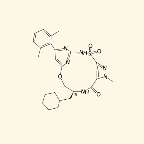 Cc1cccc(C)c1-c1cc2nc(n1)NS(=O)(=O)c1cc(n(C)n1)C(=O)N[C@@H](CC1CCCCC1)CO2